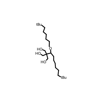 CC(C)(C)CCCCCCOC(CCCCCCC(C)(C)C)C(CO)(CO)CO